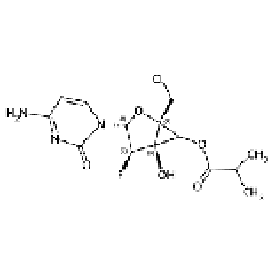 CC(C)C(=O)OC1[C@@]2(CCl)O[C@@H](n3ccc(N)nc3=O)[C@H](F)[C@@]12O